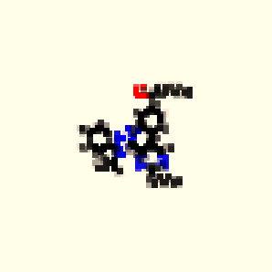 COC(=O)c1ccc2c(c1)nc(Nc1ccccc1C)c1nc(SC)ncc12